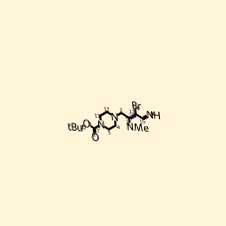 CN/C(CN1CCN(C(=O)OC(C)(C)C)CC1)=C(/Br)C=N